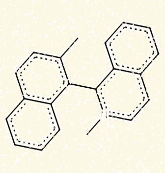 Cc1ccc2ccccc2c1-c1c2ccccc2cc[n+]1C